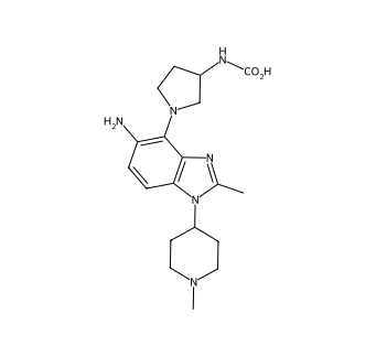 Cc1nc2c(N3CCC(NC(=O)O)C3)c(N)ccc2n1C1CCN(C)CC1